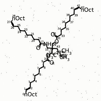 CCCCCCCCC=CCCCCCCCC(=O)OCC(CNC(=O)CCCCCCC/C=C\CCCCCCCC)(COC(=O)CCCCCCC/C=C\CCCCCCCC)C[N+](C)(C)C.[Cl-]